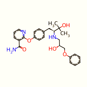 CC(C)(O)[C@H](Cc1ccc(Oc2ncccc2C(N)=O)cc1)NC[C@H](O)COc1ccccc1